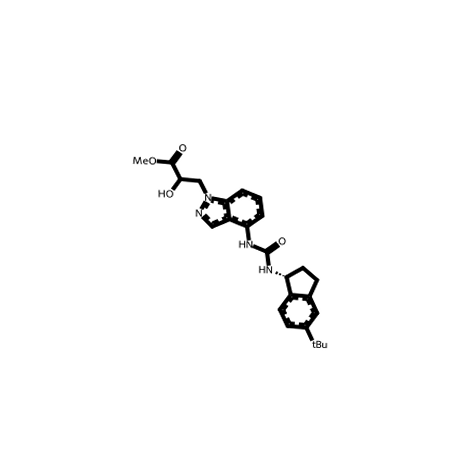 COC(=O)C(O)Cn1ncc2c(NC(=O)N[C@@H]3CCc4cc(C(C)(C)C)ccc43)cccc21